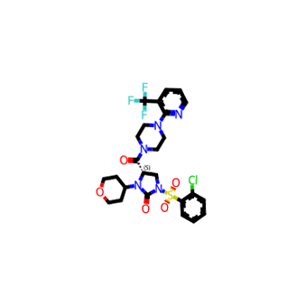 O=C([C@@H]1CN(S(=O)(=O)c2ccccc2Cl)C(=O)N1C1CCOCC1)N1CCN(c2ncccc2C(F)(F)F)CC1